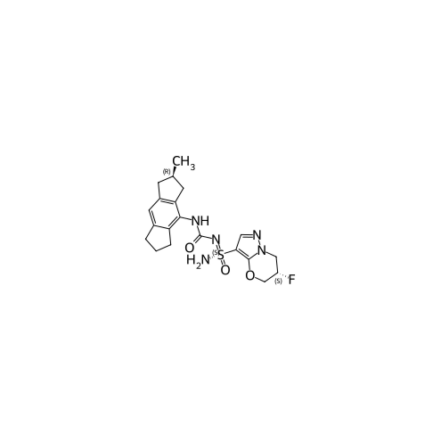 C[C@@H]1Cc2cc3c(c(NC(=O)N=[S@](N)(=O)c4cnn5c4OC[C@@H](F)C5)c2C1)CCC3